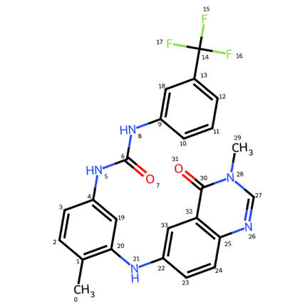 Cc1ccc(NC(=O)Nc2cccc(C(F)(F)F)c2)cc1Nc1ccc2ncn(C)c(=O)c2c1